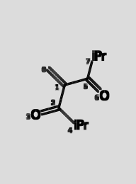 C=C(C(=O)C(C)C)C(=O)C(C)C